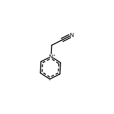 N#CC[n+]1cc[c]cc1